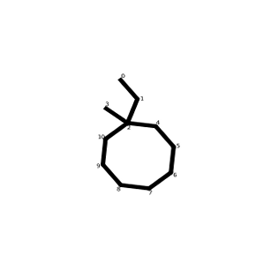 CCC1(C)CCCCCCC1